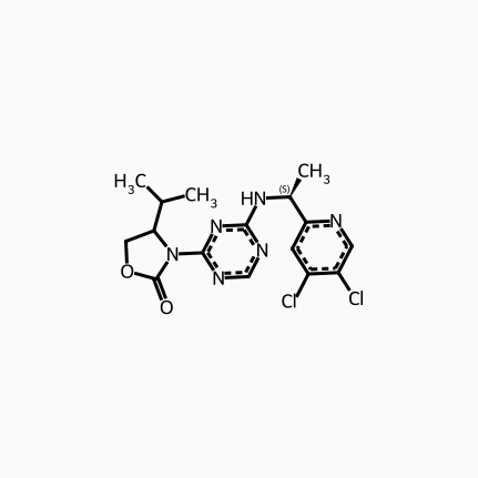 CC(C)C1COC(=O)N1c1ncnc(N[C@@H](C)c2cc(Cl)c(Cl)cn2)n1